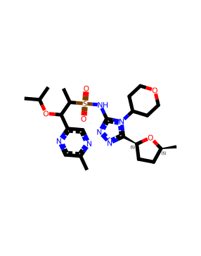 Cc1cnc(C(OC(C)C)C(C)S(=O)(=O)Nc2nnc([C@@H]3CC[C@H](C)O3)n2C2CCOCC2)cn1